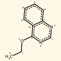 CCOc1ncnc2ccccc12